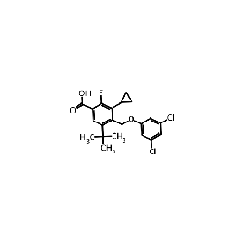 CC(C)(C)c1cc(C(=O)O)c(F)c(C2CC2)c1COc1cc(Cl)cc(Cl)c1